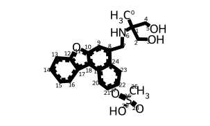 CC(CO)(CO)NCc1cc2oc3ccccc3c2c2ccccc12.CS(=O)(=O)O